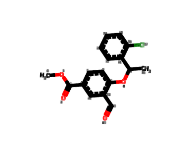 COC(=O)c1ccc(OC(C)c2ccccc2Cl)c(C=O)c1